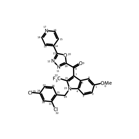 COc1ccc2c(c1)c(C(=O)c1nnc(-c3ccncc3)o1)c(C(F)(F)F)n2Cc1ccc(Cl)cc1Cl